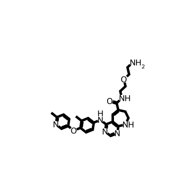 Cc1ccc(Oc2ccc(Nc3ncnc4c3C=C(C(=O)NCCOCCN)CCN4)cc2C)cn1